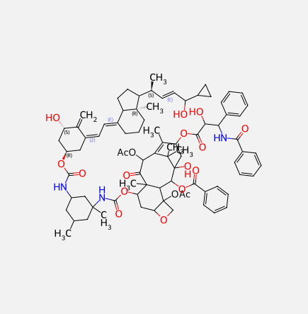 C=C1/C(=C\C=C2/CCC[C@@]3(C)C2CCC3[C@@H](C)/C=C/C(O)C2CC2)C[C@@H](OC(=O)NC2CC(C)CC(C)(NC(=O)OC3CC4OCC4(OC(C)=O)C4C(OC(=O)c5ccccc5)C5(O)CC(OC(=O)C(O)C(NC(=O)c6ccccc6)c6ccccc6)C(C)=C(C(OC(C)=O)C(=O)C34C)C5(C)C)C2)C[C@@H]1O